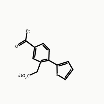 CCOC(=O)Cc1cc(C(=O)CC)ccc1-c1cccs1